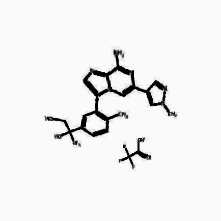 Cc1ccc(C(O)(CO)C(F)(F)F)cc1-c1cnc2c(N)nc(-c3cnn(C)c3)cn12.O=C(O)C(F)(F)F